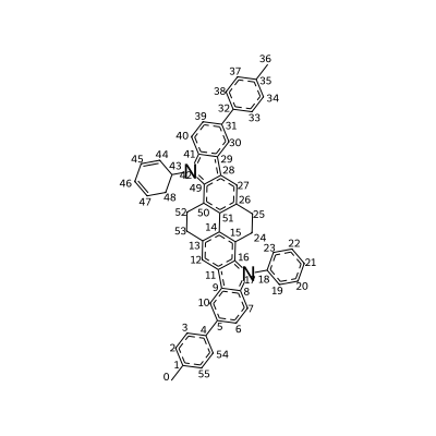 Cc1ccc(-c2ccc3c(c2)c2cc4c5c(c2n3-c2ccccc2)CCc2cc3c6cc(-c7ccc(C)cc7)ccc6n(C6C=CC=CC6)c3c(c2-5)CC4)cc1